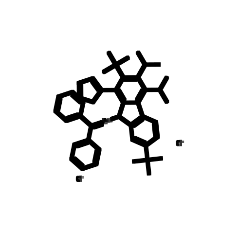 CC(C)c1c2c(c(C3=CC=CC3)c(C(C)(C)C)c1C(C)C)[CH]([Zr+2]=[C](c1ccccc1)c1ccccc1)c1cc(C(C)(C)C)ccc1-2.[Cl-].[Cl-]